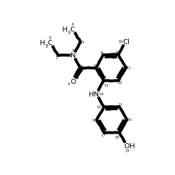 CCN(CC)C(=O)c1cc(Cl)ccc1Nc1ccc(O)cc1